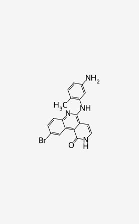 Cc1ccc(N)cc1Nc1nc2ccc(Br)cc2c2c(=O)[nH]ccc12